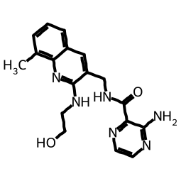 Cc1cccc2cc(CNC(=O)c3nccnc3N)c(NCCO)nc12